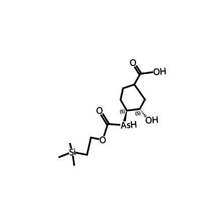 C[Si](C)(C)CCOC(=O)[AsH][C@H]1CCC(C(=O)O)C[C@@H]1O